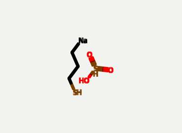 O=[SH](=O)O.[Na][CH2]CCS